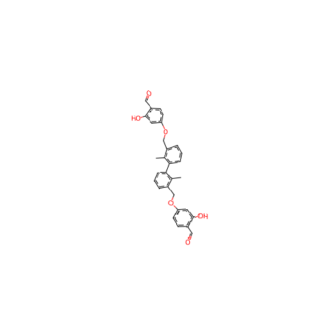 Cc1c(COc2ccc(C=O)c(O)c2)cccc1-c1cccc(COc2ccc(C=O)c(O)c2)c1C